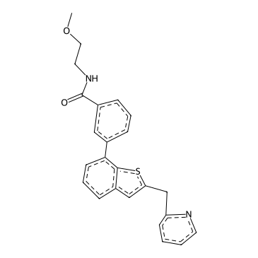 COCCNC(=O)c1cccc(-c2cccc3cc(Cc4ccccn4)sc23)c1